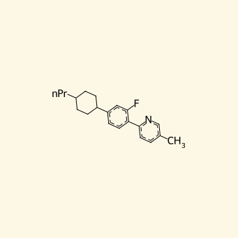 CCCC1CCC(c2ccc(-c3ccc(C)cn3)c(F)c2)CC1